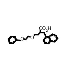 O=C(O)C(CCOCCOCc1ccccc1)Cc1cccc2ccccc12